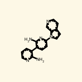 Nc1ncccc1-c1ccc(-n2ccc3ccncc32)nc1N